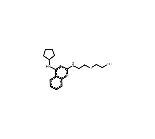 OCCSCCNc1nc(NC2CCCC2)c2ccccc2n1